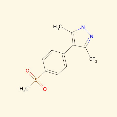 CC1=C(c2ccc(S(C)(=O)=O)cc2)C(C(F)(F)F)=N[N]1